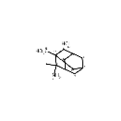 CC1(N)C2CC3CC(C2)CC1(C(=O)O)C3.Cl